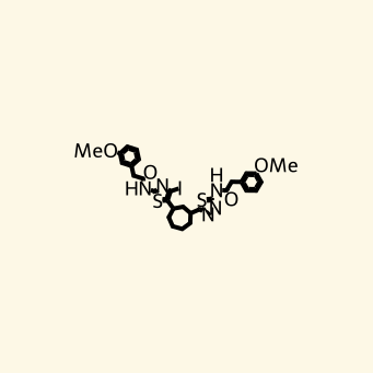 COc1cccc(CC(=O)Nc2nnc(C3CCCCC(c4sc(NC(=O)Cc5cccc(OC)c5)nc4I)C3)s2)c1